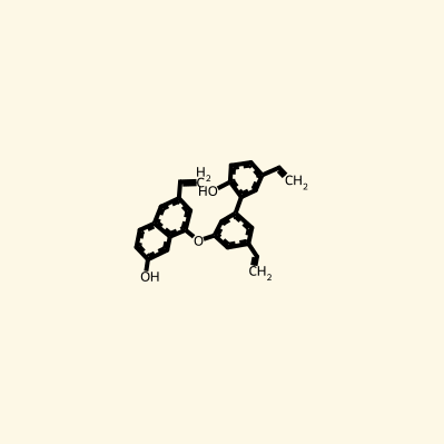 C=Cc1cc(Oc2cc(C=C)cc3ccc(O)cc23)cc(-c2cc(C=C)ccc2O)c1